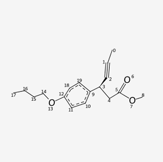 CC#C[C@@H](CC(=O)OC)c1ccc(OCCCC)cc1